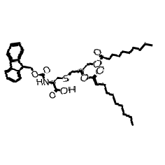 CCCCCCCCCC(=O)OC[C@H](CSC[C@H](NC(=O)OCC1c2ccccc2-c2ccccc21)C(=O)O)OC(=O)CCCCCCCCC